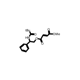 COC(=O)/C=C/C(=O)OCC(NC(=O)C(C)(C)C)c1ccccc1